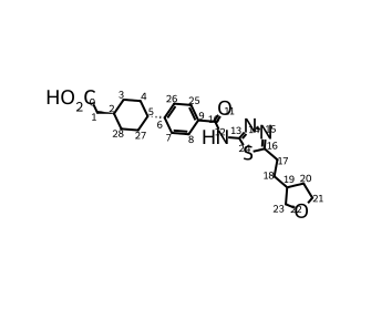 O=C(O)C[C@H]1CC[C@H](c2ccc(C(=O)Nc3nnc(CCC4CCOC4)s3)cc2)CC1